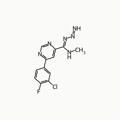 CN/C(=N\N=N)c1cc(-c2ccc(F)c(Cl)c2)ncn1